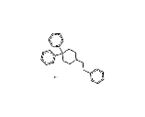 Cl.c1ccc(CCN2CCC(c3ccccc3)(c3ccccc3)CC2)cc1